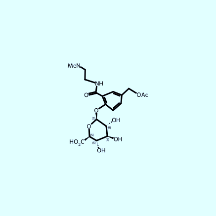 CNCCNC(=O)c1cc(COC(C)=O)ccc1O[C@@H]1O[C@H](C(=O)O)[C@@H](O)[C@H](O)[C@H]1O